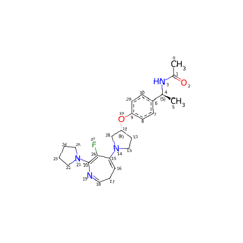 CC(=O)N[C@@H](C)c1ccc(O[C@@H]2CCN(C3=CCC=NC(N4CCCC4)=C3F)C2)cc1